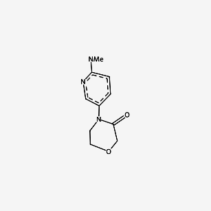 CNc1ccc(N2CCOCC2=O)cn1